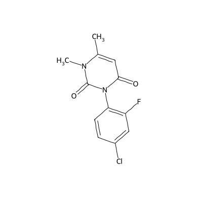 Cc1cc(=O)n(-c2ccc(Cl)cc2F)c(=O)n1C